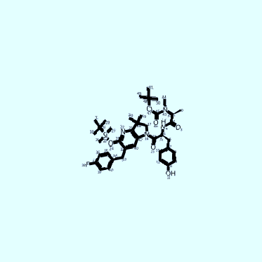 C[C@@H](C(=O)N[C@@H](Cc1ccc(O)cc1)C(=O)N1CC(C)(C)c2nc(O[Si](C)(C)C(C)(C)C)c(Cc3ccc(F)cc3)cc21)N(C)C(=O)OC(C)(C)C